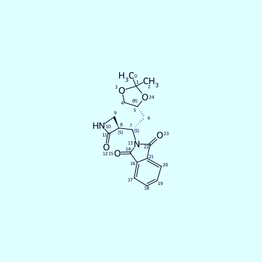 CC1(C)OC[C@@H](C[C@@H]([C@@H]2CNC2=O)N2C(=O)c3ccccc3C2=O)O1